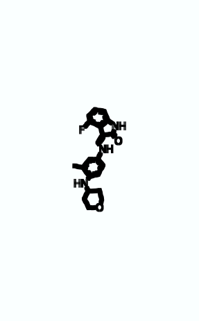 Cc1cc(NC=C2C(=O)Nc3cccc(F)c32)ccc1NC1CCOCC1